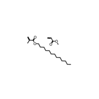 C=C(C)C(=O)OCCCCCCCCCCCCC.C=CC(=O)OC